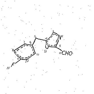 O=Cc1ncc(Cc2ccc(F)cc2)o1